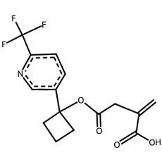 C=C(CC(=O)OC1(c2ccc(C(F)(F)F)nc2)CCC1)C(=O)O